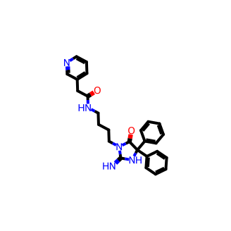 N=C1NC(c2ccccc2)(c2ccccc2)C(=O)N1CCCCNC(=O)Cc1cccnc1